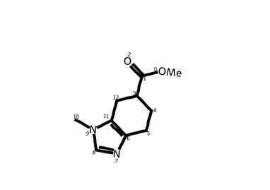 COC(=O)C1CCc2ncn(C)c2C1